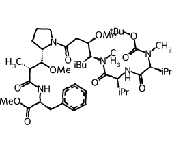 CC[C@H](C)[C@@H]([C@@H](CC(=O)N1CCC[C@H]1C(OC)[C@@H](C)C(=O)N[C@@H](Cc1ccccc1)C(=O)OC)OC)N(C)C(=O)[C@@H](NC(=O)[C@H](C(C)C)N(C)C(=O)OC(C)(C)C)C(C)C